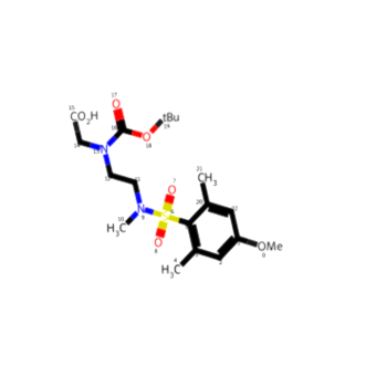 COc1cc(C)c(S(=O)(=O)N(C)CCN(CC(=O)O)C(=O)OC(C)(C)C)c(C)c1